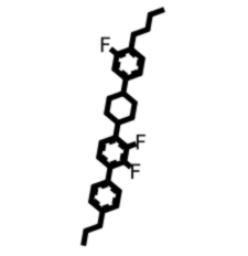 CCCCc1ccc(C2CCC(c3ccc(-c4ccc(CCC)cc4)c(F)c3F)CC2)cc1F